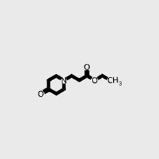 CCOC(=O)CCN1CCC(=O)CC1